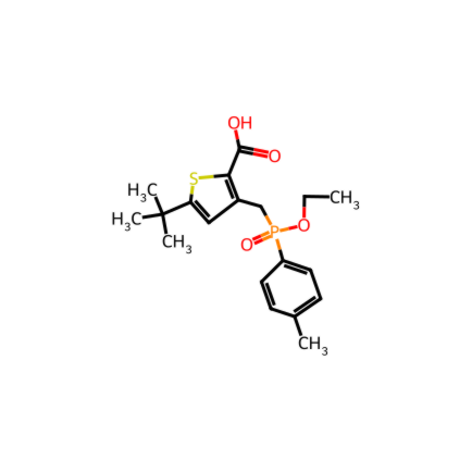 CCOP(=O)(Cc1cc(C(C)(C)C)sc1C(=O)O)c1ccc(C)cc1